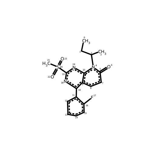 CCC(C)n1c(=O)ccc2c(-c3ccccc3F)nc(S(C)(=O)=O)nc21